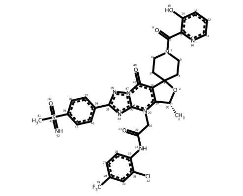 C[C@H]1OC2(CCN(C(=O)c3ncccc3O)CC2)c2c1n(CC(=O)Nc1ccc(C(F)(F)F)cc1Cl)c1nc(-c3ccc(S(C)(=N)=O)cc3)nn1c2=O